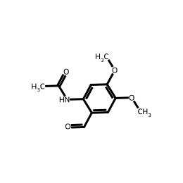 COc1cc(C=O)c(NC(C)=O)cc1OC